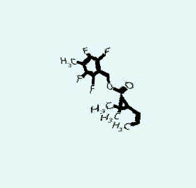 C/C=C\C1[C@@H](C(=O)OCc2c(F)c(F)c(C)c(F)c2F)C1(C)C